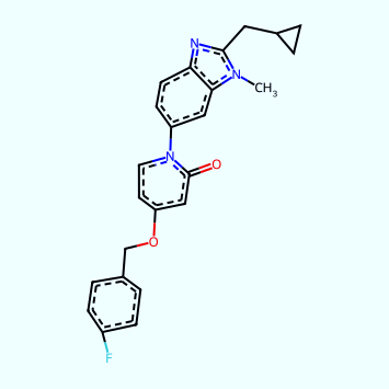 Cn1c(CC2CC2)nc2ccc(-n3ccc(OCc4ccc(F)cc4)cc3=O)cc21